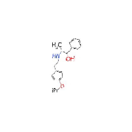 CC(C)Oc1ccc(CCNC(C)C(O)c2ccccc2)cc1